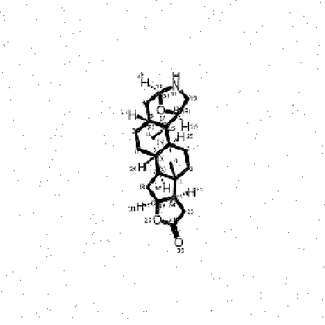 C[C@]12CC[C@H]3[C@@H](CC[C@@H]4C[C@H]5NC[C@H](O5)[C@@]43C)[C@@H]1C[C@@H]1OC(=O)C[C@@H]12